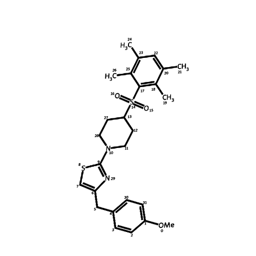 COc1ccc(Cc2csc(N3CCC(S(=O)(=O)c4c(C)c(C)cc(C)c4C)CC3)n2)cc1